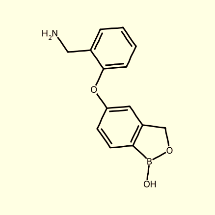 NCc1ccccc1Oc1ccc2c(c1)COB2O